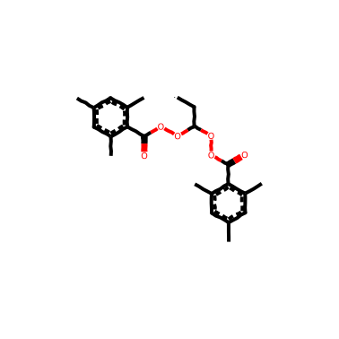 [CH2]C[C](OOC(=O)c1c(C)cc(C)cc1C)OOC(=O)c1c(C)cc(C)cc1C